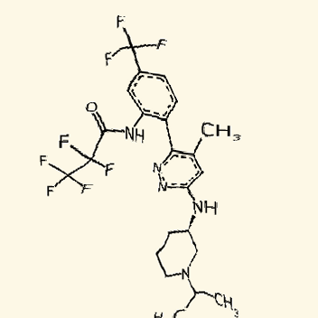 Cc1cc(N[C@@H]2CCCN(C(C)C)C2)nnc1-c1ccc(C(F)(F)F)cc1NC(=O)C(F)(F)C(F)(F)F